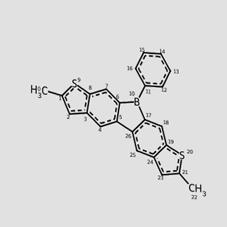 Cc1cc2cc3c(cc2s1)B(c1ccccc1)c1cc2sc(C)cc2cc1-3